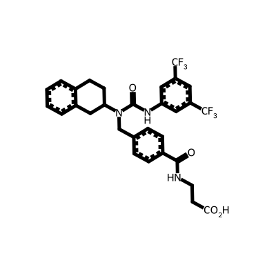 O=C(O)CCNC(=O)c1ccc(CN(C(=O)Nc2cc(C(F)(F)F)cc(C(F)(F)F)c2)C2CCc3ccccc3C2)cc1